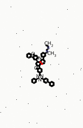 C=C/C=C\C=C(/C)c1ccc2c(c1)c1ccccc1n2-c1cc2oc3ccccc3c2cc1-c1ccc2c(c1)oc1cc(-c3nc(-c4ccccc4)nc(-c4ccc(-c5ccccc5)cc4)n3)ccc12